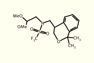 COC(CN(CC1COC(C)(C)c2ccccc21)S(=O)(=O)C(F)(F)F)OC